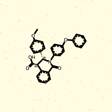 COc1ccc([C@H]2[C@H](C(=O)O)c3ccccc3C(=O)N2c2ccc(Oc3ccccc3)cc2)cc1